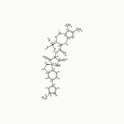 Cc1sc2c(c1C)OC[C@H](C(F)(F)F)N(C(=O)CN1C(=O)N[C@@]3(CCc4cc(-c5cnn(C)c5)ccc43)C1=O)C2